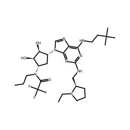 CCCN(C(=O)C(F)(F)F)[C@H]1C[C@@H](n2cnc3c(NCCC(C)(C)C)nc(NC[C@H]4CCCN4CC)nc32)[C@H](O)[C@@H]1O